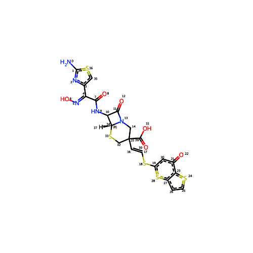 Nc1nc(C(=NO)C(=O)NC2C(=O)N3CC(C=CSc4cc(=O)c5sccc5s4)(C(=O)O)CS[C@H]23)cs1